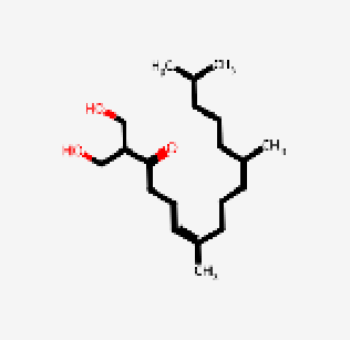 CC(=CCCC(=O)C(CO)CO)CCCC(C)CCCC(C)C